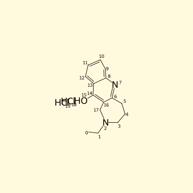 CCN1CCCc2nc3ccccc3c(O)c2C1.Cl.Cl